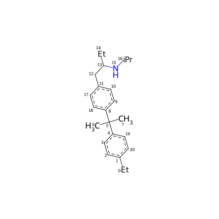 CCc1ccc(C(C)(C)c2ccc(CC(CC)NC(C)C)cc2)cc1